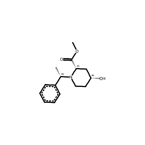 COC(=O)[C@@H]1C[C@H](O)CCN1[C@@H](C)c1ccccc1